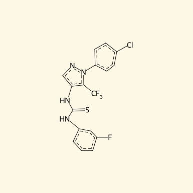 Fc1cccc(NC(=S)Nc2cnn(-c3ccc(Cl)cc3)c2C(F)(F)F)c1